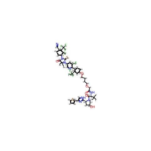 CC(C)(C)[C@H](NC(=O)COCCCCOc1ccc(-c2ncc(N3C(=S)N(c4ccc(C#N)c(C(F)(F)F)c4F)C(=O)C3(C)C)cc2F)c(C(F)(F)F)c1)C(=O)N1C[C@H](O)C[C@H]1c1nc(-c2cccs2)c[nH]1